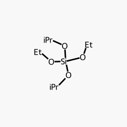 CCO[Si](OCC)(OC(C)C)OC(C)C